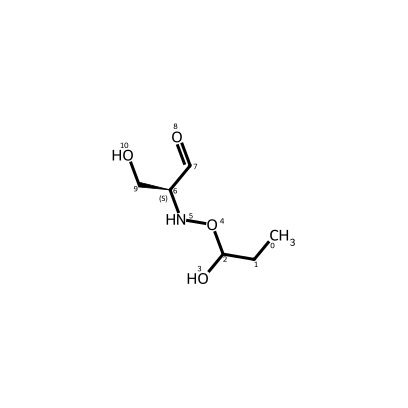 CCC(O)ON[C@H](C=O)CO